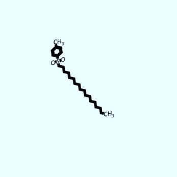 CCCCCCCCCCCCCCCCCCS(=O)(=O)c1ccc(C)cc1